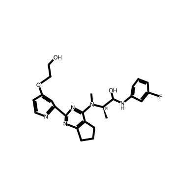 C[C@H](C(O)Nc1cccc(F)c1)N(C)c1nc(-c2cc(OCCO)ccn2)nc2c1CCC2